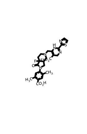 CCOC(=O)C1=C(CN2CCC3(F)C(=O)N(c4cc(C)c(C(=O)O)cc4C)CC3C2)NC(c2nccs2)=NC1